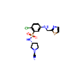 N#CN1CC[C@@H](NS(=O)(=O)c2cc(NCc3nccs3)ccc2Cl)C1